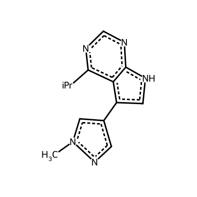 CC(C)c1ncnc2[nH]cc(-c3cnn(C)c3)c12